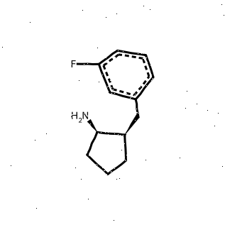 N[C@@H]1CCC[C@@H]1Cc1cccc(F)c1